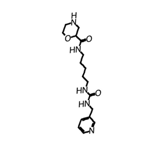 O=C(NCCCCCNC(=O)C1CNCCO1)NCc1cccnc1